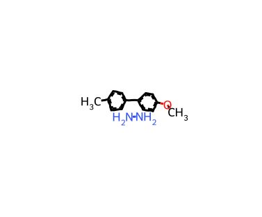 COc1ccc(-c2ccc(C)cc2)cc1.NN